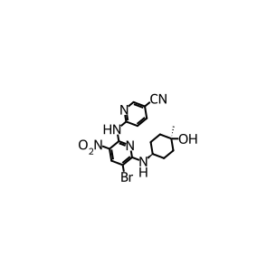 C[C@]1(O)CC[C@@H](Nc2nc(Nc3ccc(C#N)cn3)c([N+](=O)[O-])cc2Br)CC1